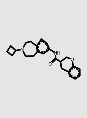 O=C(Nc1ccc2c(c1)CCN(C1CCC1)CC2)C1COc2ccccc2C1